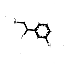 FC(CBr)c1cccc(Cl)c1